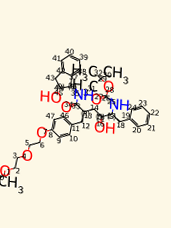 COCCOCCOc1ccc(C[C@H](C[C@H](O)[C@H](Cc2ccccc2)NC(=O)OC(C)(C)C)C(=O)N[C@H]2c3ccccc3C[C@H]2O)cc1